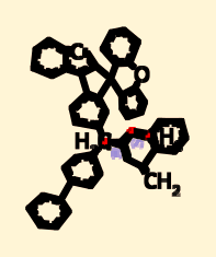 C=C(/C=C(\C=C/C)N(c1ccc(-c2ccccc2)cc1)c1ccc2c(c1)C1(c3ccccc3Oc3ccccc31)c1ccc3ccccc3c1-2)c1ccccc1CCC